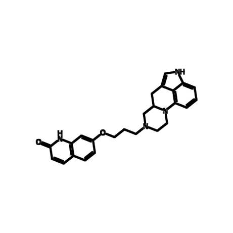 O=c1ccc2ccc(OCCCN3CCN4c5cccc6[nH]cc(c56)CC4C3)cc2[nH]1